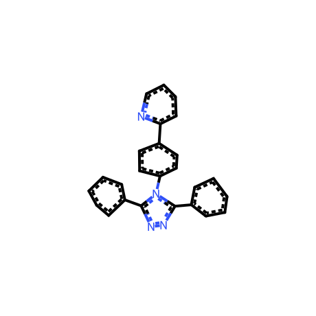 c1ccc(-c2nnc(-c3ccccc3)n2-c2ccc(-c3ccccn3)cc2)cc1